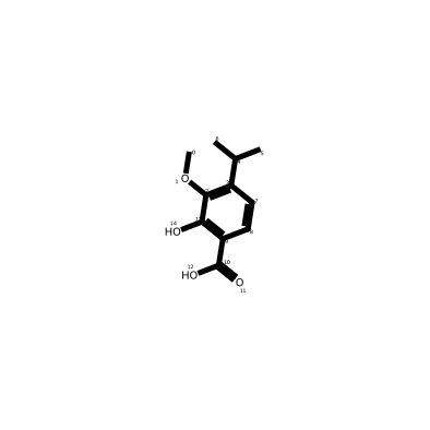 COc1c(C(C)C)ccc(C(=O)O)c1O